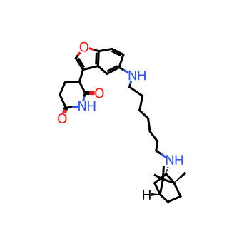 CC1(C)[C@@H]2CC[C@@]1(C)[C@@H](NCCCCCCCNc1ccc3occ(C4CCC(=O)NC4=O)c3c1)C2